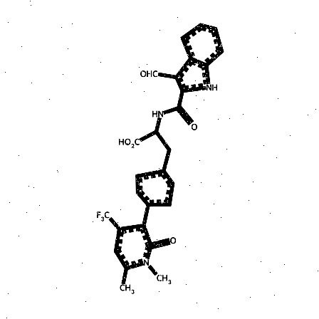 Cc1cc(C(F)(F)F)c(-c2ccc(CC(NC(=O)c3[nH]c4ccccc4c3C=O)C(=O)O)cc2)c(=O)n1C